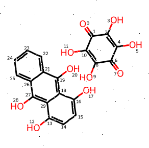 O=C1C(O)=C(O)C(=O)C(O)=C1O.Oc1ccc(O)c2c(O)c3ccccc3c(O)c12